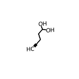 C#CCCC(O)O